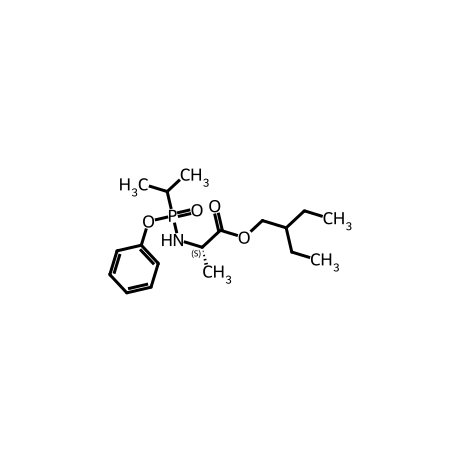 CCC(CC)COC(=O)[C@H](C)NP(=O)(Oc1ccccc1)C(C)C